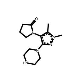 Cc1c(N2CCCC2=O)c(N2CCNCC2)nn1C